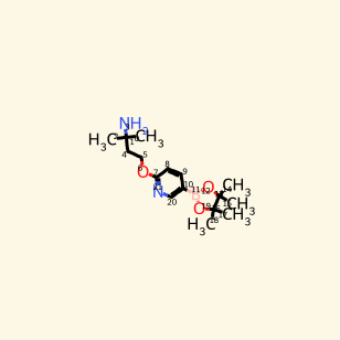 CC(C)(N)CCOc1ccc(B2OC(C)(C)C(C)(C)O2)cn1